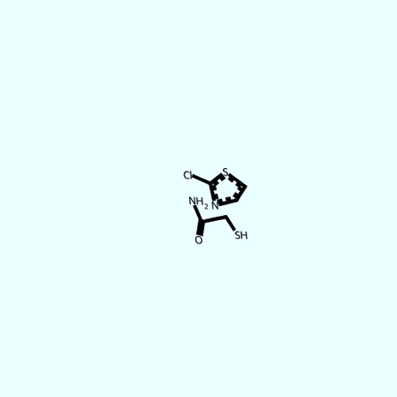 Clc1nccs1.NC(=O)CS